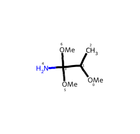 COC(C)C(N)(OC)OC